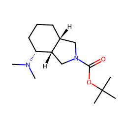 CN(C)[C@@H]1CCC[C@@H]2CN(C(=O)OC(C)(C)C)C[C@@H]21